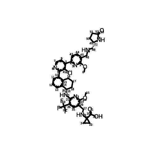 COc1nc(-c2ccnc(-c3cccc4c3CCC[C@H]4Nc3nc(OC)c(CNC4(C(=O)O)CC4)cc3C(F)(F)F)c2Cl)ccc1CNC[C@@H]1CCC(=O)N1